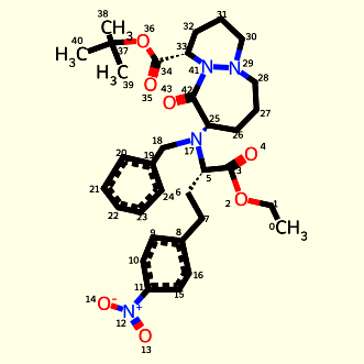 CCOC(=O)[C@H](CCc1ccc([N+](=O)[O-])cc1)N(Cc1ccccc1)[C@H]1CCCN2CCC[C@@H](C(=O)OC(C)(C)C)N2C1=O